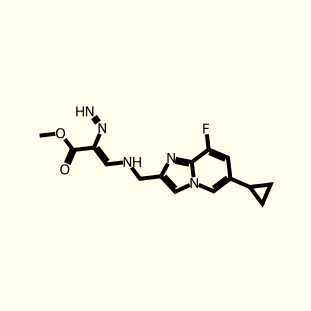 COC(=O)/C(=C/NCc1cn2cc(C3CC3)cc(F)c2n1)N=N